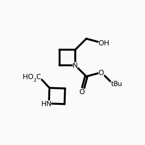 CC(C)(C)OC(=O)N1CCC1CO.O=C(O)C1CCN1